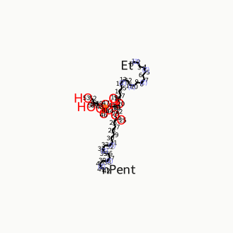 CC/C=C\C/C=C\C/C=C\C/C=C\C/C=C\CCCC(=O)O[C@H](COC(=O)CCCCC/C=C\C/C=C\C/C=C\C/C=C\CCCCC)COP(=O)(O)OC[C@@H](O)CO